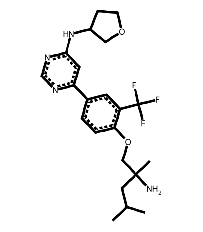 CC(C)CC(C)(N)COc1ccc(-c2cc(NC3CCOC3)ncn2)cc1C(F)(F)F